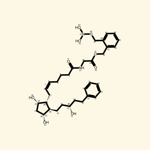 O=C(CCC/C=C\C[C@@H]1[C@@H](CC[C@@H](O)CCc2ccccc2)[C@H](O)C[C@@H]1O)NCC(=O)OCc1ccccc1CON(O)O